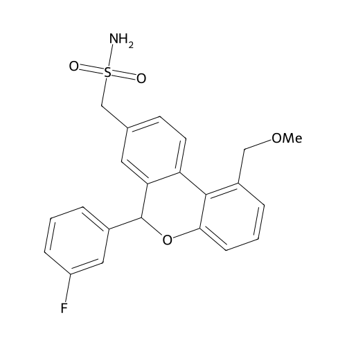 COCc1cccc2c1-c1ccc(CS(N)(=O)=O)cc1C(c1cccc(F)c1)O2